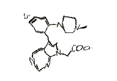 CN1CCN(c2ccccc2-c2cn(CC(=O)[O-])c3ncncc23)CC1.[Li+]